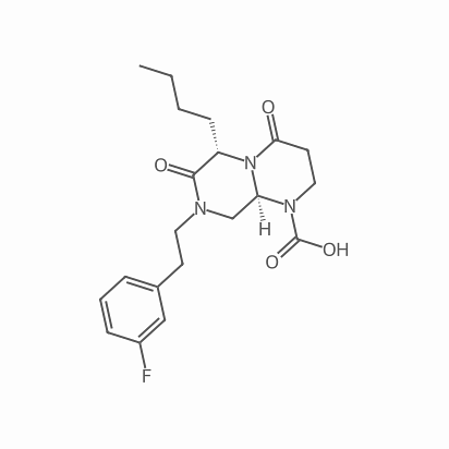 CCCC[C@H]1C(=O)N(CCc2cccc(F)c2)C[C@@H]2N(C(=O)O)CCC(=O)N21